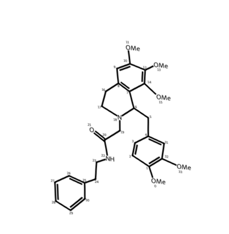 COc1ccc(CC2c3c(cc(OC)c(OC)c3OC)CCN2CC(=O)NCCc2ccccc2)cc1OC